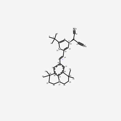 CC(C)(C)C1=C[C@@H](C(C#N)C#N)C=C(/C=C/c2cc3c4c(c2)C(C)(C)CCN4CCC3(C)C)O1